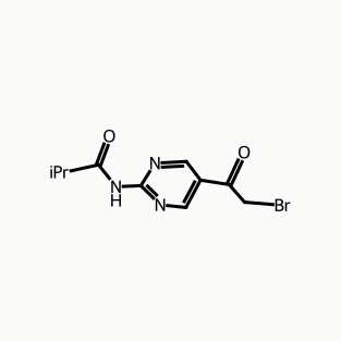 CC(C)C(=O)Nc1ncc(C(=O)CBr)cn1